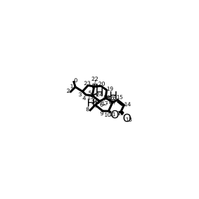 CC(C)C1C[C@H]2[C@@H]3C(C)CC4OC(=O)C=C[C@]4(C)[C@@H]3CC[C@]2(C)C1